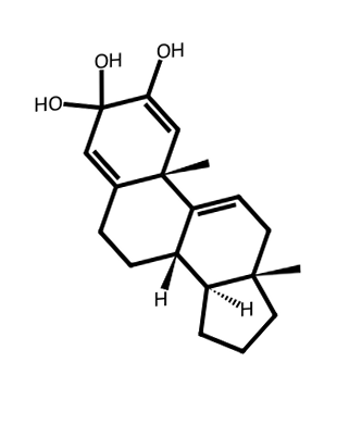 C[C@]12C=C(O)C(O)(O)C=C1CC[C@@H]1C2=CC[C@]2(C)CCC[C@@H]12